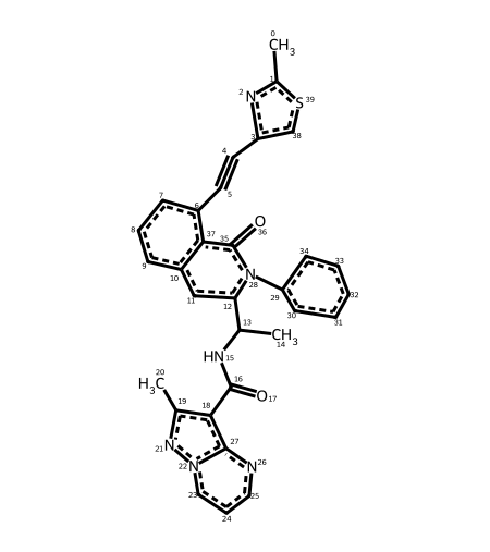 Cc1nc(C#Cc2cccc3cc(C(C)NC(=O)c4c(C)nn5cccnc45)n(-c4ccccc4)c(=O)c23)cs1